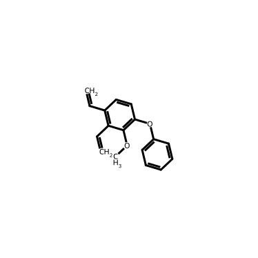 C=Cc1ccc(Oc2ccccc2)c(OC)c1C=C